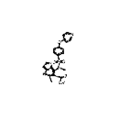 Cc1nc2ccsc2c(N(C)S(=O)(=O)c2ccc(Oc3ccncc3)cc2)c1C(=O)O